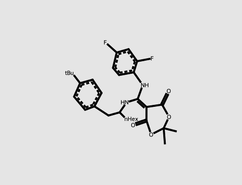 CCCCCCC(Cc1ccc(C(C)(C)C)cc1)NC(Nc1ccc(F)cc1F)=C1C(=O)OC(C)(C)OC1=O